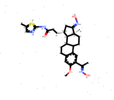 COc1cc2c(cc1/C(C)=N/O)C1CC[C@]3(C)/C(=N/O)C[C@@H](CCC(=O)Nc4ncc(C)s4)C3C1CC2